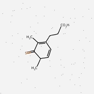 CC1=C(CCC(=O)O)C=CC(C)C1=S